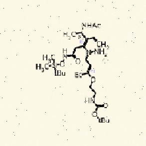 C=C/C(=C(/CC(=O)NO[Si](C)(C)C(C)(C)C)N(N)C/C=C(\CC)OCCNC(=O)OC(C)(C)C)[C@H](C)NC(C)=O